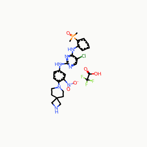 CP(C)(=O)c1ccccc1Nc1nc(Nc2ccc(N3CCC4(CC3)CNC4)c([N+](=O)[O-])c2)ncc1Cl.O=C(O)C(F)(F)F